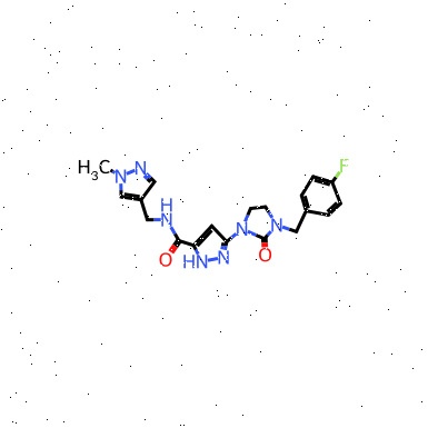 Cn1cc(CNC(=O)c2cc(N3CCN(Cc4ccc(F)cc4)C3=O)n[nH]2)cn1